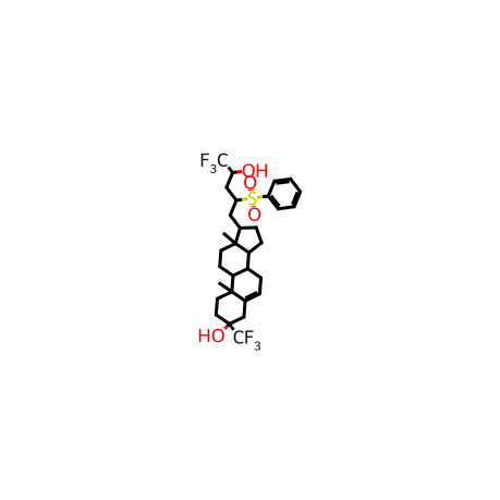 CC12CCC(O)(C(F)(F)F)CC1=CCC1C2CCC2(C)C(CC(CC(O)C(F)(F)F)S(=O)(=O)c3ccccc3)CCC12